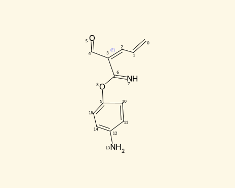 C=C/C=C(/C=O)C(=N)Oc1ccc(N)cc1